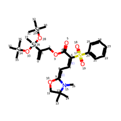 C=C(COC(=O)/C(=C\C=C1\OCC(C)(C)N1C)S(=O)(=O)c1ccccc1)[Si](C)(O[Si](C)(C)C)O[Si](C)(C)C